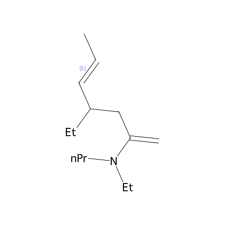 C=C(CC(/C=C/C)CC)N(CC)CCC